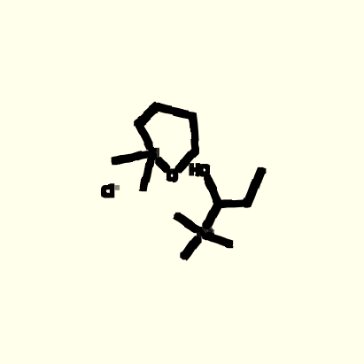 CCC(O)[N+](C)(C)C.C[Si]1(C)CCCCO1.[Cl-]